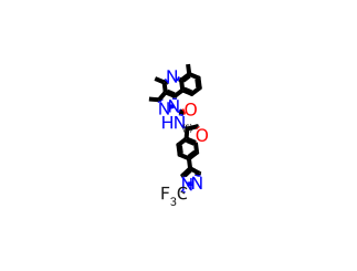 Cc1cccc2c1nc(C)c1c(C)nn(C(=O)N[C@@H]3COc4cc(-c5cnn(C(F)(F)F)c5)ccc43)c12